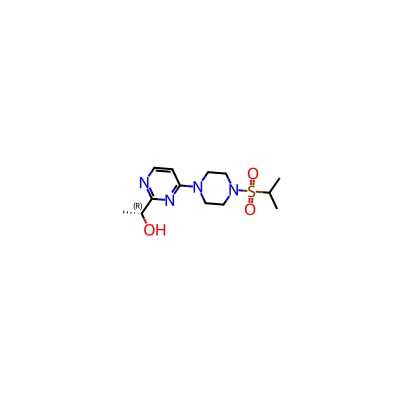 CC(C)S(=O)(=O)N1CCN(c2ccnc([C@@H](C)O)n2)CC1